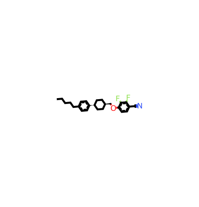 CCCCCc1ccc([C@H]2CC[C@H](COc3ccc(C#N)c(F)c3F)CC2)cc1